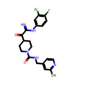 N#Cc1cc(CNC(=O)N2CCC(C(=O)C(=N)Nc3ccc(F)c(Br)c3)CC2)ccn1